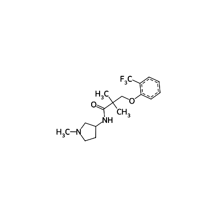 CN1CCC(NC(=O)C(C)(C)COc2ccccc2C(F)(F)F)C1